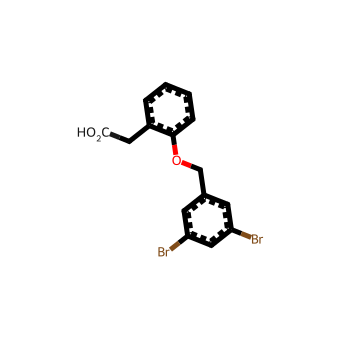 O=C(O)Cc1ccccc1OCc1cc(Br)cc(Br)c1